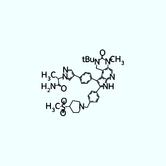 CC(C(N)=O)n1cc(-c2ccc(-c3c(-c4ccc(CN5CCC(S(C)(=O)=O)CC5)cc4)[nH]c4ncc5c(c34)CN(C(C)(C)C)C(=O)N5C)cc2)cn1